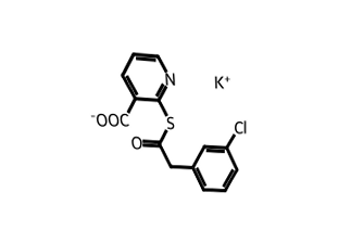 O=C(Cc1cccc(Cl)c1)Sc1ncccc1C(=O)[O-].[K+]